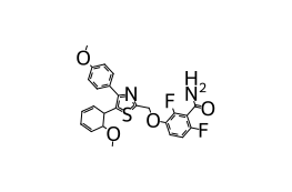 COc1ccc(-c2nc(COc3ccc(F)c(C(N)=O)c3F)sc2C2C=CC=CC2OC)cc1